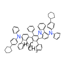 CCC1c2ccccc2-c2c(N(c3ccccc3)c3ccc(C4CCCCC4)cc3)ccc(-c3c(C)c(-c4ccccc4)c4c5ccc(N(c6ccccc6)c6ccc(C7CCCCC7)cc6)c6c7ccccc7n(c4c3-c3ccccc3)c56)c21